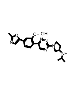 Cc1ncc(-c2ccc(-c3cnc(N4CCC(NC(C)C)C4)nn3)c(O)c2)o1.Cl